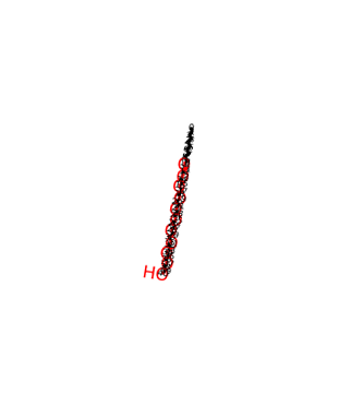 CCCCCCCCCCOCCOCCOCCOCCOCCOCCOCCOCCOCCOCCO